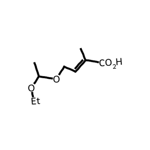 CCOC(C)OCC=C(C)C(=O)O